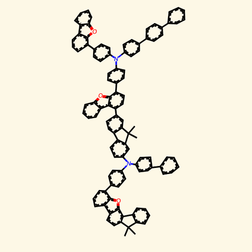 CC1(C)c2cc(-c3ccc(-c4ccc(N(c5ccc(-c6ccc(-c7ccccc7)cc6)cc5)c5ccc(-c6cccc7c6oc6ccccc67)cc5)cc4)c4oc5ccccc5c34)ccc2-c2ccc(N(c3ccc(-c4ccccc4)cc3)c3ccc(-c4cccc5c4oc4c6c(ccc45)C(C)(C)c4ccccc4-6)cc3)cc21